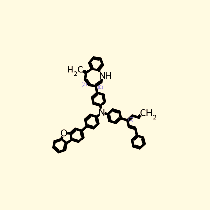 C=C/C=C(\C=Cc1ccccc1)c1ccc(N(c2ccc(C3=C/Nc4ccccc4C(=C)/C=C\3)cc2)c2ccc(-c3ccc4c(c3)oc3ccccc34)cc2)cc1